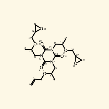 C=CCOC(C)Cn1c(=O)n(CC(C)OCC2CO2)c(=O)n(CC(C)OCC2CO2)c1=O